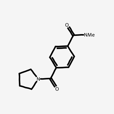 CNC(=O)c1ccc(C(=O)N2CCCC2)cc1